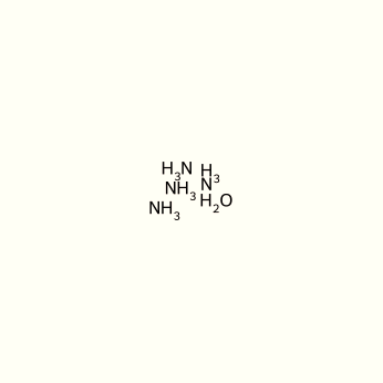 N.N.N.N.O